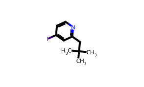 CC(C)(C)Cc1cc(I)ccn1